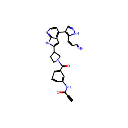 C#CC(=O)Nc1cccc(C(=O)N2CCC(c3cc4c(-c5cn[nH]c5/C=C\C=N)ccnc4[nH]3)C2)c1